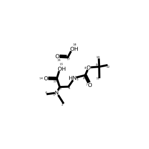 CN(C)C(CNC(=O)OC(C)(C)C)C(=O)O.O=CO